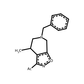 CC(=O)c1noc2c1C(C)CN(Cc1ccccc1)C2